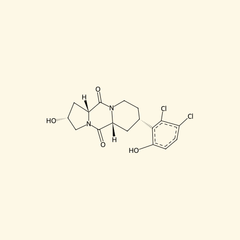 O=C1[C@H]2C[C@@H](O)CN2C(=O)[C@H]2C[C@@H](c3c(O)ccc(Cl)c3Cl)CCN12